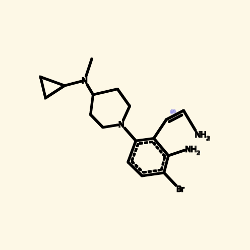 CN(C1CC1)C1CCN(c2ccc(Br)c(N)c2/C=C\N)CC1